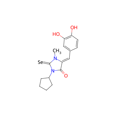 CN1C(=[Se])N(C2CCCC2)C(=O)C1=Cc1ccc(O)c(O)c1